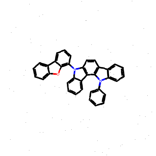 c1ccc(-n2c3ccccc3c3ccc4c(c5ccccc5n4-c4cccc5c4oc4ccccc45)c32)cc1